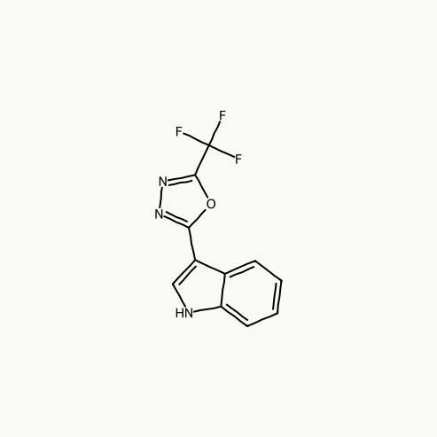 FC(F)(F)c1nnc(-c2c[nH]c3ccccc23)o1